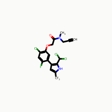 C#CCN(C)C(=O)COc1cc(-c2cc(C(F)(F)F)[nH]c2C(Cl)Cl)c(F)cc1Cl